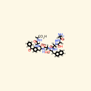 CC(NC(=O)C(C)(C)NC(=O)C(Cc1ccc(C(=O)c2ccccc2)cc1)NC(=O)C(C)(C)NC(O)C(Cc1ccc2ccccc2c1)NC(=O)C(C)(C)NC(O)C(C)NC(=O)C(C)(C)N)C(=O)O